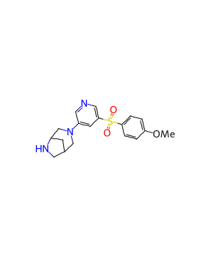 COc1ccc(S(=O)(=O)c2cncc(N3CC4CNC(C4)C3)c2)cc1